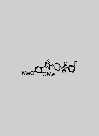 COc1ccc(-c2csc(N3CCN(S(=O)(=O)c4cccc(F)c4)CC3)n2)c(OC)c1